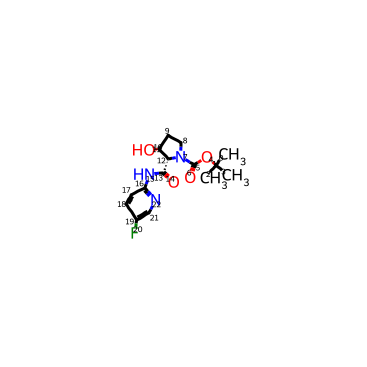 CC(C)(C)OC(=O)N1CC[C@H](O)[C@H]1C(=O)Nc1ccc(F)cn1